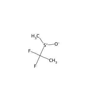 C[S+]([O-])C(C)(F)F